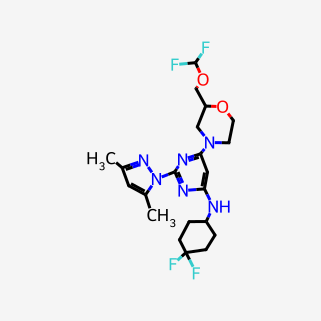 Cc1cc(C)n(-c2nc(NC3CCC(F)(F)CC3)cc(N3CCOC(COC(F)F)C3)n2)n1